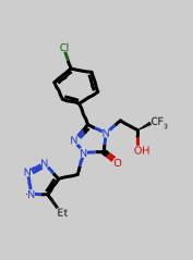 CCC1=C(Cn2nc(-c3ccc(Cl)cc3)n(C[C@H](O)C(F)(F)F)c2=O)N=N[N]1